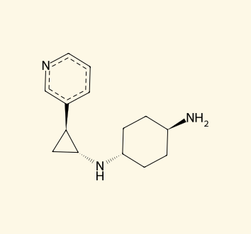 N[C@H]1CC[C@H](N[C@@H]2C[C@H]2c2cccnc2)CC1